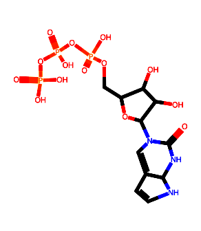 O=C1NC2NC=CC2=CN1C1OC(COP(=O)(O)OP(=O)(O)OP(=O)(O)O)C(O)C1O